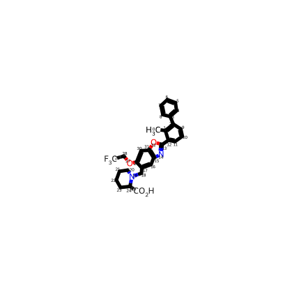 Cc1c(-c2ccccc2)cccc1-c1nc2cc(CN3CCCCC3C(=O)O)c(OCC(F)(F)F)cc2o1